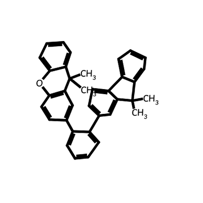 CC1(C)c2ccccc2Oc2ccc(-c3ccccc3-c3ccc4c(c3)C(C)(C)c3ccccc3-4)cc21